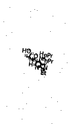 CCCC(CCC)Nc1c(C(=O)NC(C)CO)cnc2c1cnn2CC